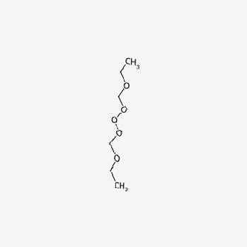 CCOCOOOCOCC